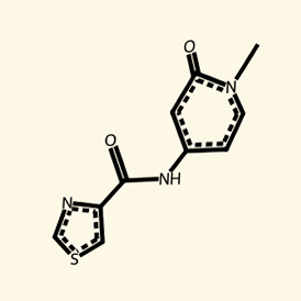 Cn1ccc(NC(=O)c2cscn2)cc1=O